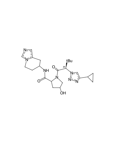 CC(C)(C)[C@H](C(=O)N1CC(O)CC1C(=O)NC1CCn2cncc2C1)n1cc(C2CC2)nn1